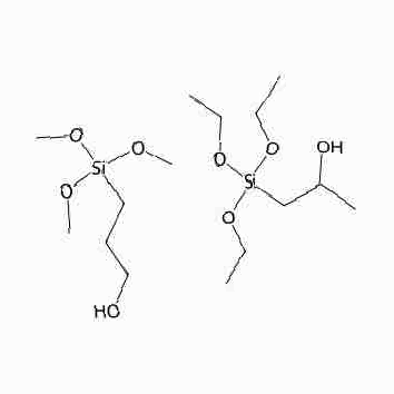 CCO[Si](CC(C)O)(OCC)OCC.CO[Si](CCCO)(OC)OC